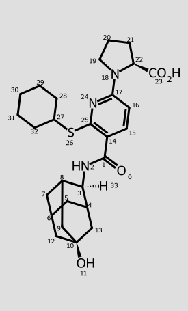 O=C(N[C@H]1C2CC3CC1C[C@@](O)(C3)C2)c1ccc(N2CCC[C@H]2C(=O)O)nc1SC1CCCCC1